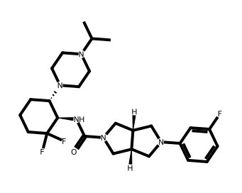 CC(C)N1CCN([C@H]2CCCC(F)(F)[C@@H]2NC(=O)N2C[C@@H]3CN(c4cccc(F)c4)C[C@@H]3C2)CC1